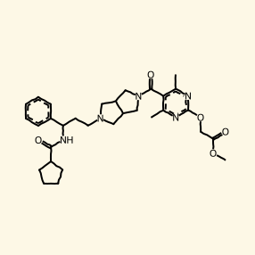 COC(=O)COc1nc(C)c(C(=O)N2CC3CN(CCC(NC(=O)C4CCCC4)c4ccccc4)CC3C2)c(C)n1